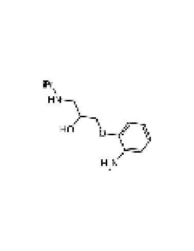 CC(C)NCC(O)COc1ccccc1N